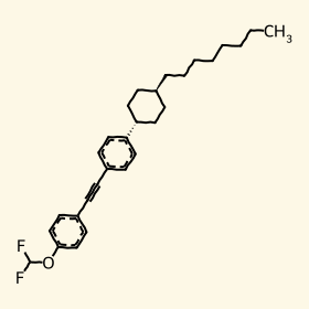 CCCCCCCC[C@H]1CC[C@H](c2ccc(C#Cc3ccc(OC(F)F)cc3)cc2)CC1